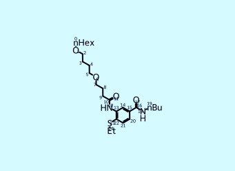 CCCCCCOCCCCOCCCC(=O)Nc1cc(C(=O)NCCCC)ccc1SCC